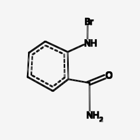 NC(=O)c1ccccc1NBr